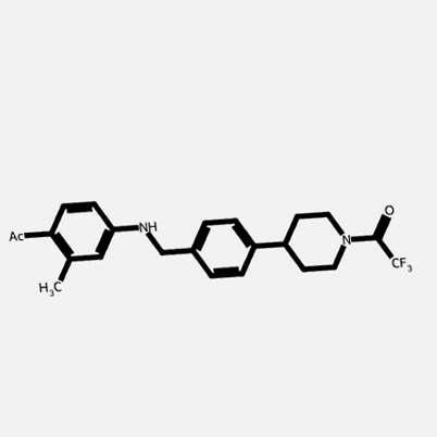 CC(=O)c1ccc(NCc2ccc(C3CCN(C(=O)C(F)(F)F)CC3)cc2)cc1C